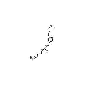 CCCCOC(=O)OCn1cc[n+](CCCC)c1